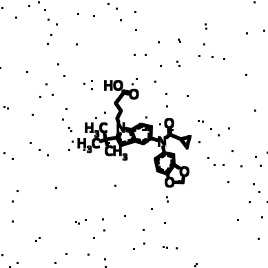 CC(C)(C)c1cc2cc(N(C(=O)C3CC3)c3ccc4c(c3)OCO4)ccc2n1CCCC(=O)O